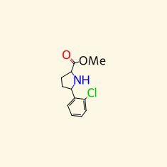 COC(=O)C1CCC(c2ccccc2Cl)N1